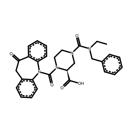 CCN(Cc1ccccc1)C(=O)N1CCN(C(=O)N2c3ccccc3CC(=O)c3ccccc32)[C@H](C(=O)O)C1